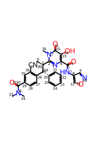 C[C@@H](c1nc(C(=O)Nc2cnoc2)c(O)c(=O)n1C)[C@H](c1ccccc1)c1ccc(C(=O)N(C)C)cc1C#N